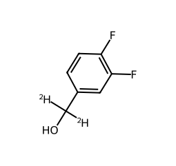 [2H]C([2H])(O)c1ccc(F)c(F)c1